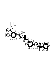 NC(=O)c1cc([C@H](O)CNCCc2cccc(OCC(F)(F)c3ccccc3)c2)ccc1O